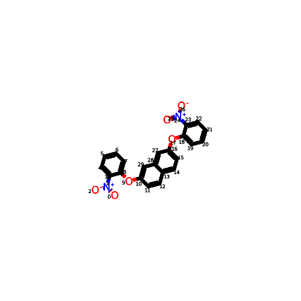 O=[N+]([O-])c1ccccc1Oc1ccc2ccc(Oc3ccccc3[N+](=O)[O-])cc2c1